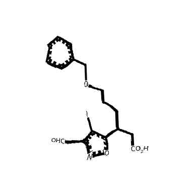 O=Cc1noc(C(CCCOCc2ccccc2)CC(=O)O)c1I